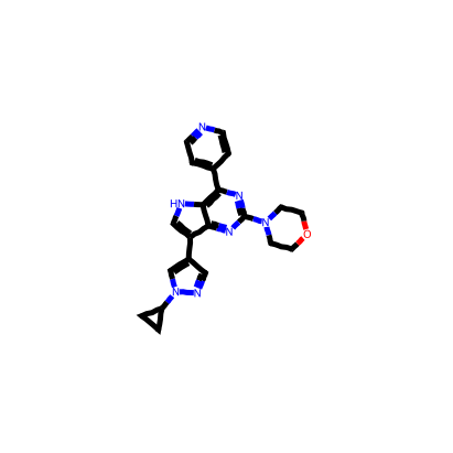 c1cc(-c2nc(N3CCOCC3)nc3c(-c4cnn(C5CC5)c4)c[nH]c23)ccn1